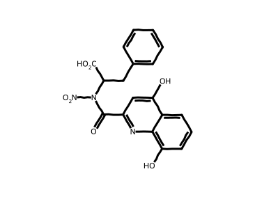 O=C(O)C(Cc1ccccc1)N(C(=O)c1cc(O)c2cccc(O)c2n1)[N+](=O)[O-]